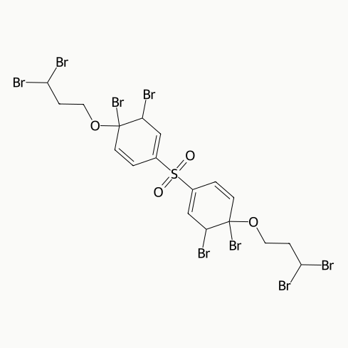 O=S(=O)(C1=CC(Br)C(Br)(OCCC(Br)Br)C=C1)C1=CC(Br)C(Br)(OCCC(Br)Br)C=C1